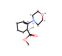 COC(=O)[C@@]1(C)CCCC=C1N1CCOCC1